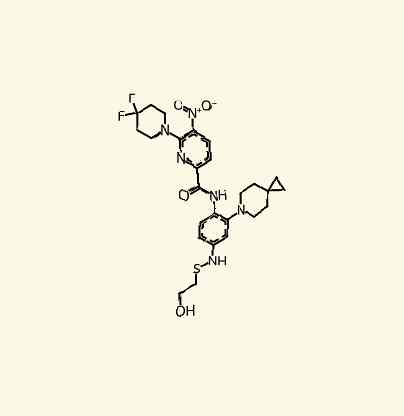 O=C(Nc1ccc(NSCCO)cc1N1CCC2(CC1)CC2)c1ccc([N+](=O)[O-])c(N2CCC(F)(F)CC2)n1